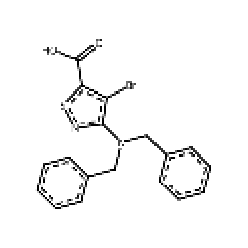 O=C(O)c1snc(N(Cc2ccccc2)Cc2ccccc2)c1Br